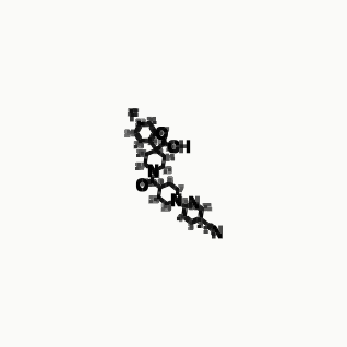 N#Cc1ccc(N2CCC(C(=O)N3CCC(C(=O)O)(c4ccc(F)cc4)CC3)CC2)nc1